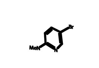 [CH]Nc1ccc(Br)cn1